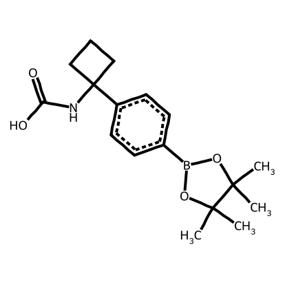 CC1(C)OB(c2ccc(C3(NC(=O)O)CCC3)cc2)OC1(C)C